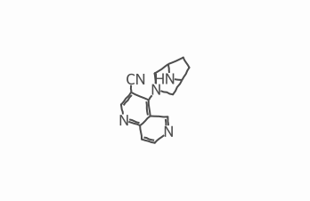 N#Cc1cnc2ccncc2c1N1CC2CCC(C1)N2